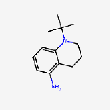 CC(C)(C)N1CCCc2c(N)cccc21